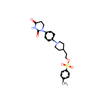 Cc1ccc(S(=O)(=O)OCCC2CCN(c3ccc(N4CCC(=O)NC4=O)cc3)CC2)cc1